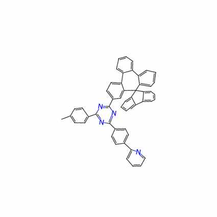 Cc1ccc(-c2nc(-c3ccc(-c4ccccn4)cc3)nc(-c3ccc4c(c3)C3(c5ccccc5-c5ccccc5-4)c4ccccc4-c4ccccc43)n2)cc1